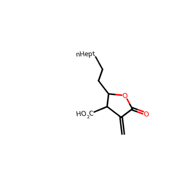 C=C1C(=O)OC(CCCCCCCCC)C1C(=O)O